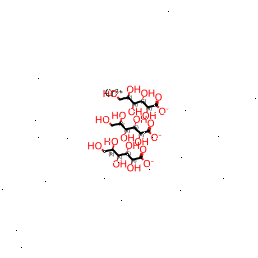 O=C([O-])[C@H](O)[C@@H](O)[C@H](O)[C@H](O)CO.O=C([O-])[C@H](O)[C@@H](O)[C@H](O)[C@H](O)CO.O=C([O-])[C@H](O)[C@@H](O)[C@H](O)[C@H](O)CO.[Cr+3]